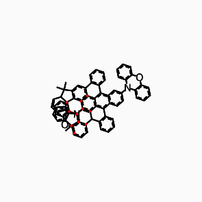 CC1(C)C2=C(C=CC(c3ccccc3-c3c4ccc(N5c6ccccc6Oc6ccccc65)cc4c(-c4ccccc4-c4ccc5c(c4)C(C)(C)C4C=CC=CC54)c4ccc(N5c6ccccc6Oc6ccccc65)cc34)C2)c2ccccc21